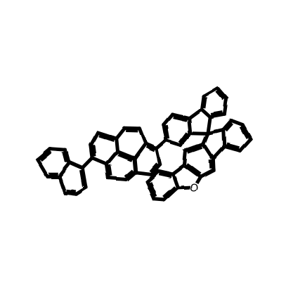 c1ccc2c(c1)-c1ccc(-c3ccc4ccc5c(-c6cccc7ccccc67)ccc6ccc3c4c65)cc1C21c2ccccc2-c2cc3oc4ccccc4c3cc21